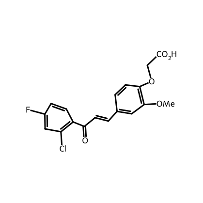 COc1cc(/C=C/C(=O)c2ccc(F)cc2Cl)ccc1OCC(=O)O